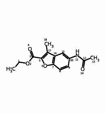 CCOC(=O)c1oc2ccc(NC(C)=O)cc2c1C